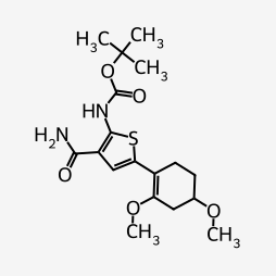 COC1=C(c2cc(C(N)=O)c(NC(=O)OC(C)(C)C)s2)CCC(OC)C1